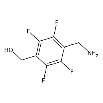 NCc1c(F)c(F)c(CO)c(F)c1F